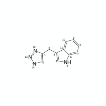 C1=C(Cc2c[nH]c3ccccc23)N=N[N]1